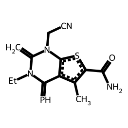 C=C1N(CC)C(=P)c2c(sc(C(N)=O)c2C)N1CC#N